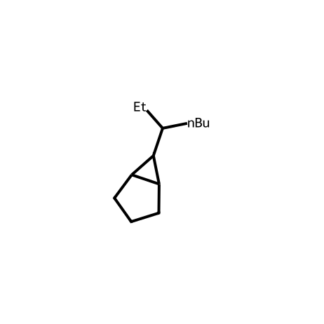 [CH2]CCCC(CC)[C]1C2CCCC12